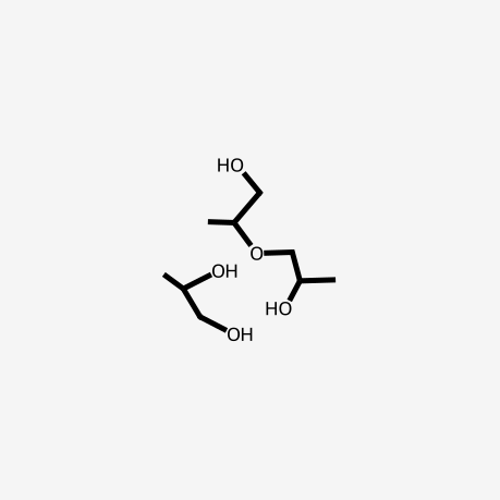 CC(O)CO.CC(O)COC(C)CO